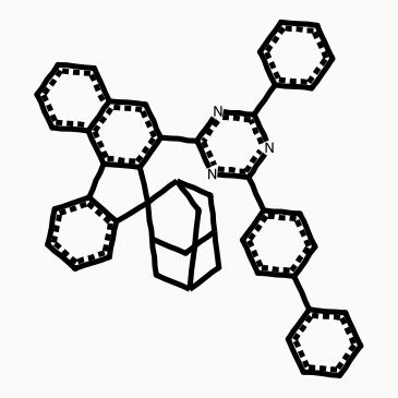 c1ccc(-c2ccc(-c3nc(-c4ccccc4)nc(-c4cc5ccccc5c5c4C4(c6ccccc6-5)C5CC6CC(C5)CC4C6)n3)cc2)cc1